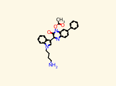 CC(=O)On1c(=O)c(-c2cn(CCCCN)c3ccccc23)nc2ccc(-c3ccccc3)cc21